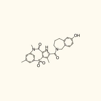 Cc1cc2cc(c1)S(=O)(=O)c1c([nH]c(C(=O)N3CCCc4cc(O)ccc4C3)c1C)C(=O)N2C